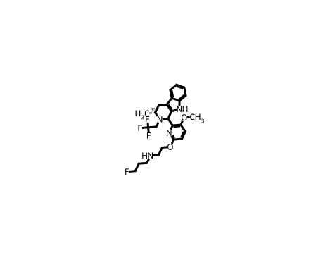 COc1ccc(OCCNCCCF)nc1C1c2[nH]c3ccccc3c2C[C@@H](C)N1CC(F)(F)F